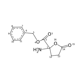 NC1(C(=O)OCc2ccccc2)CCC(=O)O1